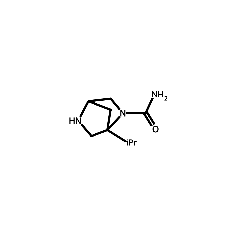 CC(C)C12CNC(CN1C(N)=O)C2